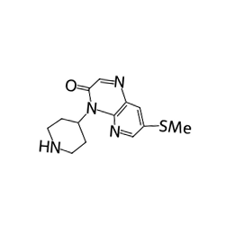 CSc1cnc2c(c1)ncc(=O)n2C1CCNCC1